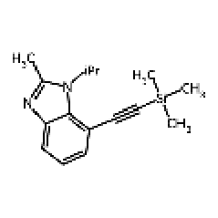 Cc1nc2cccc(C#C[Si](C)(C)C)c2n1C(C)C